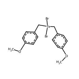 COc1ccc(C[Te](Br)(Br)Cc2ccc(OC)cc2)cc1